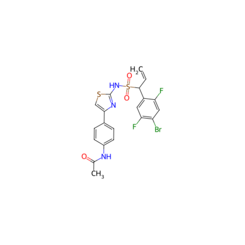 C=CC(c1cc(F)c(Br)cc1F)S(=O)(=O)Nc1nc(-c2ccc(NC(C)=O)cc2)cs1